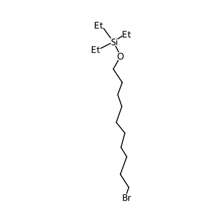 CC[Si](CC)(CC)OCCCCCCCCCCBr